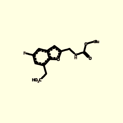 CC(C)(C)OC(=O)NCc1cc2cc(F)cc(CC(=O)O)c2o1